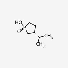 CC(C)[C@H]1CCP(=O)(O)C1